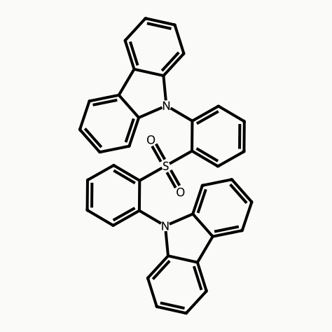 O=S(=O)(c1ccccc1-n1c2ccccc2c2ccccc21)c1ccccc1-n1c2ccccc2c2ccccc21